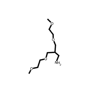 COCCOCC(CN)COCCOC